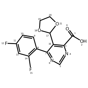 O=C(O)c1ncnc(-c2ccc(F)cc2F)c1C1OCCO1